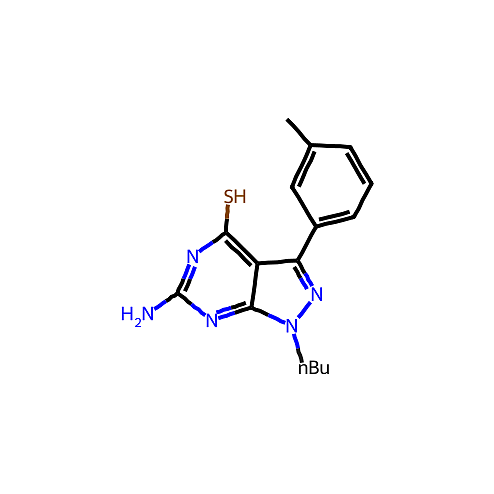 CCCCn1nc(-c2cccc(C)c2)c2c(S)nc(N)nc21